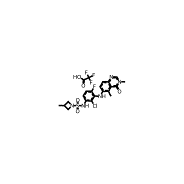 Cc1c(Nc2c(F)ccc(NS(=O)(=O)N3CC(C)C3)c2Cl)ccc2ncn(C)c(=O)c12.O=C(O)C(F)(F)F